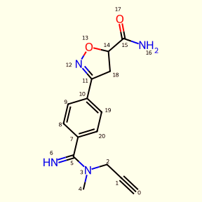 C#CCN(C)C(=N)c1ccc(C2=NOC(C(N)=O)C2)cc1